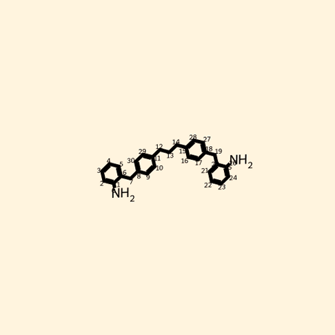 Nc1ccccc1Cc1ccc(CCCc2ccc(Cc3ccccc3N)cc2)cc1